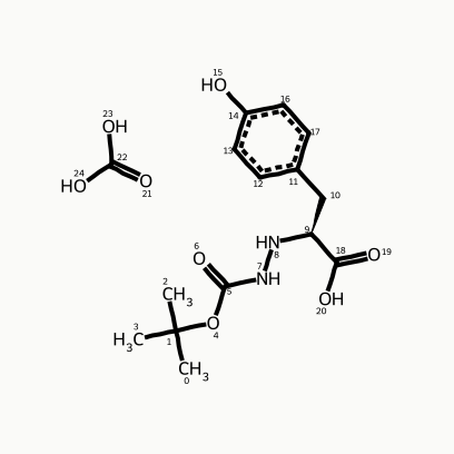 CC(C)(C)OC(=O)NN[C@@H](Cc1ccc(O)cc1)C(=O)O.O=C(O)O